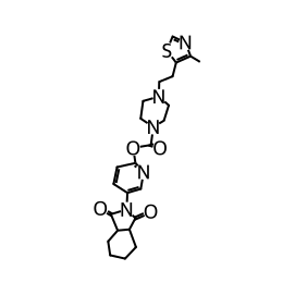 Cc1ncsc1CCN1CCN(C(=O)Oc2ccc(N3C(=O)C4CCCCC4C3=O)cn2)CC1